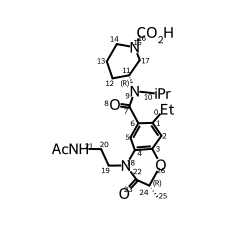 CCc1cc2c(cc1C(=O)N(C(C)C)[C@@H]1CCCN(C(=O)O)C1)N(CCNC(C)=O)C(=O)[C@@H](C)O2